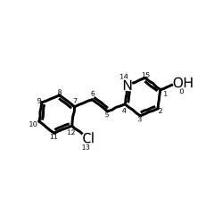 Oc1ccc(/C=C/c2ccccc2Cl)nc1